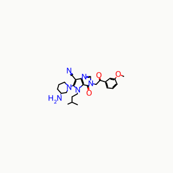 COc1cccc(C(=O)Cn2cnc3c(C#N)c(N4CCC[C@@H](N)C4)n(CCC(C)C)c3c2=O)c1